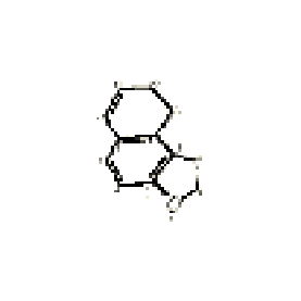 [CH]1COc2ccc3c(c21)CCC=C3